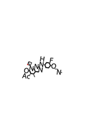 CC(=O)c1c(C)c2cnc(Nc3ccc(OCCN(C)C)c(F)c3)nc2n(C23CC(C2)C3)c1=O